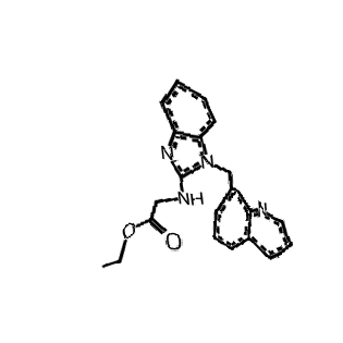 CCOC(=O)CNc1nc2ccccc2n1Cc1cccc2cccnc12